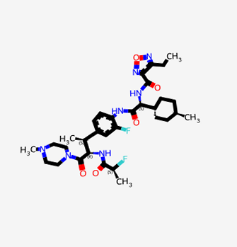 CCc1nonc1C(=O)N[C@H](C(=O)Nc1ccc([C@H](C)[C@@H](NC(=O)[C@H](C)F)C(=O)N2CCN(C)CC2)cc1F)[C@H]1CC[C@H](C)CC1